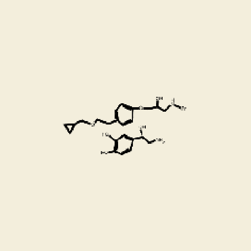 CC(C)NCC(O)COc1ccc(CCOCC2CC2)cc1.NC[C@H](O)c1ccc(O)c(O)c1